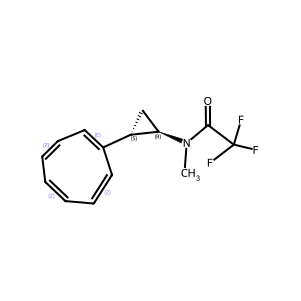 CN(C(=O)C(F)(F)F)[C@@H]1C[C@H]1C1=C/C=C\C=C/C=C\1